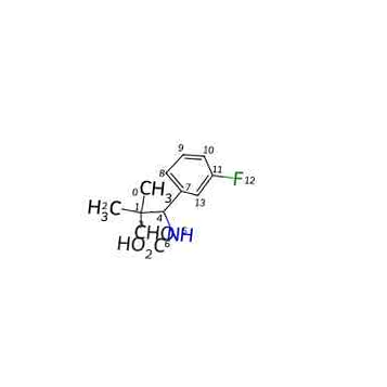 CC(C)(C=O)C(NC(=O)O)c1cccc(F)c1